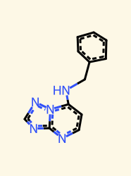 c1ccc(CNc2ccnc3ncnn23)cc1